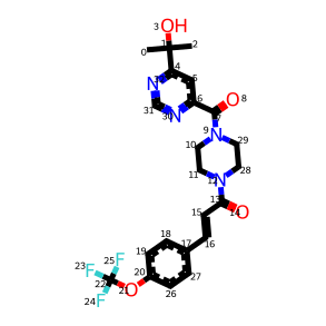 CC(C)(O)c1cc(C(=O)N2CCN(C(=O)/C=C/c3ccc(OC(F)(F)F)cc3)CC2)ncn1